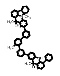 Cc1ccc(-c2cccc(-c3ccc4c(c3)C(C)(C)c3cccc5c3N4C3(C)CC=CC=C53)c2)cc1-c1cccc(-c2ccc3c(c2)C(C)(C)c2cccc(-c4ccccc4)c2N3)c1